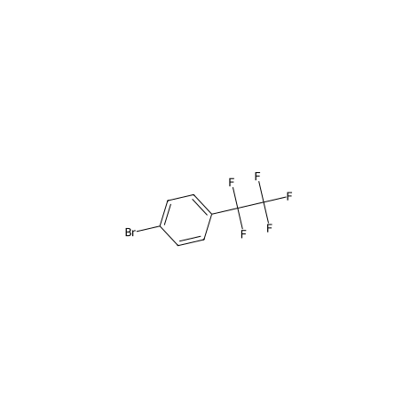 FC(F)(F)C(F)(F)c1ccc(Br)cc1